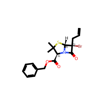 C=CC[C@]1(Br)C(=O)N2[C@@H](C(=O)OCc3ccccc3)C(C)(C)S[C@@H]21